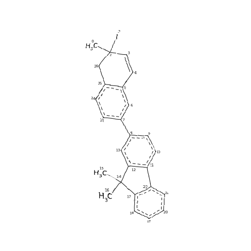 CC1(I)C=Cc2cc(-c3ccc4c(c3)C(C)(C)c3ccccc3-4)ccc2C1